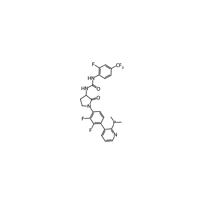 CP(C)c1ncccc1-c1ccc(N2CCC(NC(=O)Nc3ccc(C(F)(F)F)cc3F)C2=O)c(F)c1F